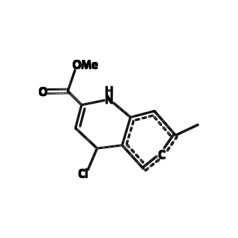 COC(=O)C1=CC(Cl)c2ccc(C)cc2N1